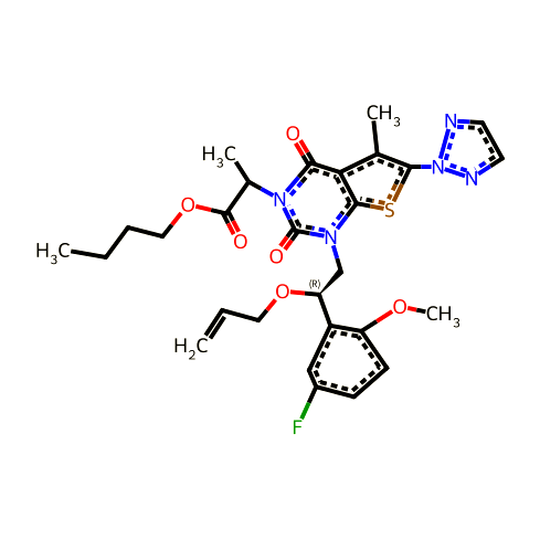 C=CCO[C@@H](Cn1c(=O)n(C(C)C(=O)OCCCC)c(=O)c2c(C)c(-n3nccn3)sc21)c1cc(F)ccc1OC